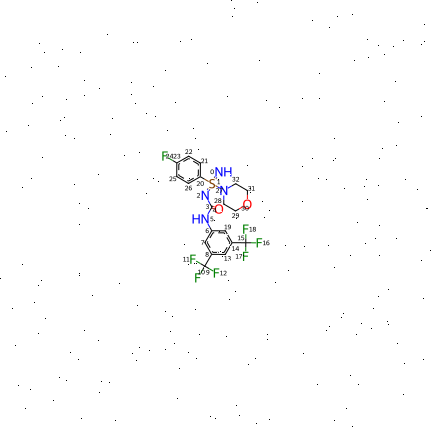 N=S(=NC(=O)Nc1cc(C(F)(F)F)cc(C(F)(F)F)c1)(c1ccc(F)cc1)N1CCOCC1